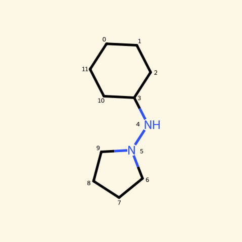 C1CCC(NN2CCCC2)CC1